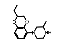 CCC1COc2c(cccc2N2CCNC(C)C2)O1